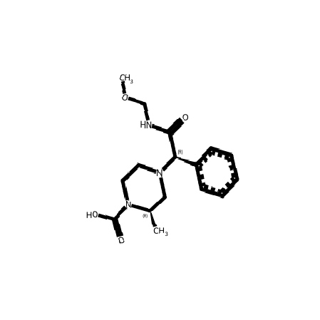 COCNC(=O)[C@@H](c1ccccc1)N1CCN(C(=O)O)[C@H](C)C1